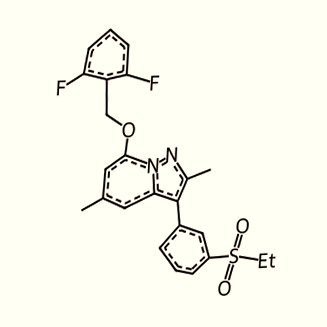 CCS(=O)(=O)c1cccc(-c2c(C)nn3c(OCc4c(F)cccc4F)cc(C)cc23)c1